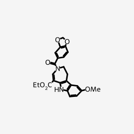 CCOC(=O)C1=CN(C(=O)c2ccc3c(c2)OCO3)CCc2c1[nH]c1ccc(OC)cc21